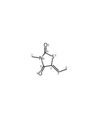 CC=C1SC(=O)N(C)C1=O